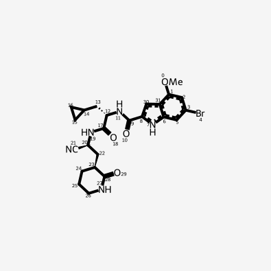 COc1cc(Br)cc2[nH]c(C(=O)N[C@@H](CC3CC3)C(=O)N[C@H](C#N)C[C@@H]3CCCNC3=O)cc12